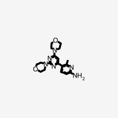 Cc1nc(N)ccc1-c1cc(N2CCOCC2)nc(N2CCOCC2)n1